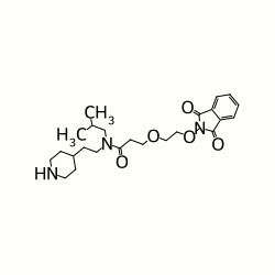 CC(C)CN(CCC1CCNCC1)C(=O)CCOCCON1C(=O)c2ccccc2C1=O